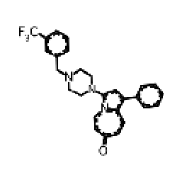 O=c1ccc2c(-c3ccccc3)cc(N3CCN(Cc4cccc(C(F)(F)F)c4)CC3)n2cc1